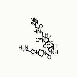 C[C@@H](NC(=O)Cn1cnnn1)[C@H]1C(=O)N2C(C(=O)O)=C(S[C@@H]3CN[C@H](C(=O)N4CCC(N5CC(CN)C5)CC4)C3)[C@H](C)[C@H]12